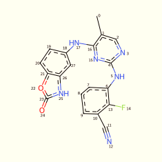 Cc1cnc(Nc2cccc(C#N)c2F)nc1Nc1ccc2oc(=O)[nH]c2c1